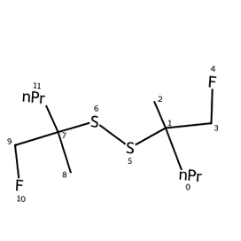 CCCC(C)(CF)SSC(C)(CF)CCC